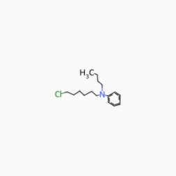 CCCCN(CCCCCCCl)c1ccccc1